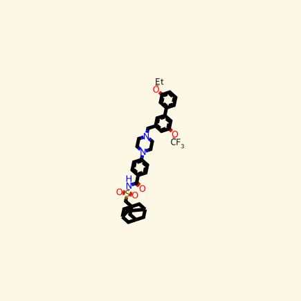 CCOc1cccc(-c2cc(CN3CCN(c4ccc(C(=O)NS(=O)(=O)CC56CC7CC(CC(C7)C5)C6)cc4)CC3)cc(OC(F)(F)F)c2)c1